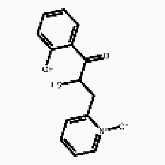 O=C(c1ccccc1O)C(S)Cc1cccc[n+]1[O-]